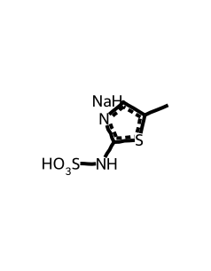 Cc1cnc(NS(=O)(=O)O)s1.[NaH]